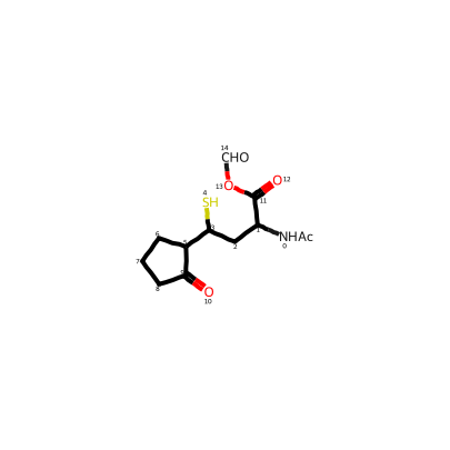 CC(=O)NC(CC(S)C1CCCC1=O)C(=O)OC=O